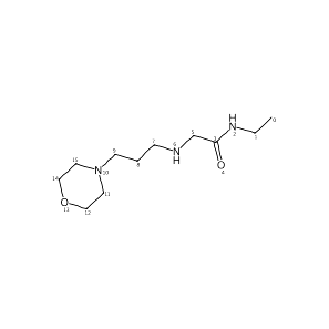 CCNC(=O)CNCCCN1CCOCC1